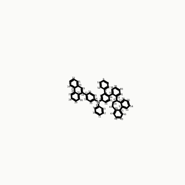 c1ccc(-c2cc(N(c3ccccc3)c3ccc(-c4cc5ccccc5c5ccccc45)cc3)ccc2-c2ccccc2C2CCc3ccccc3-c3ccccc32)cc1